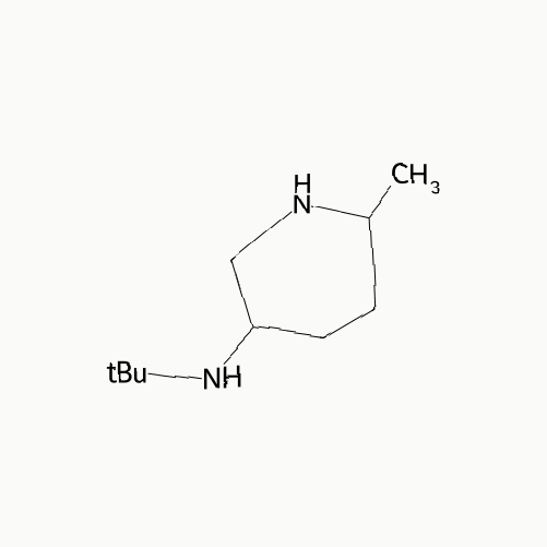 CC1CCC(NC(C)(C)C)CN1